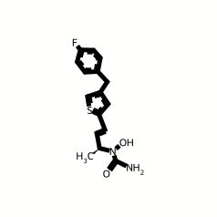 C[C@H](C=Cc1cc(Cc2ccc(F)cc2)cs1)N(O)C(N)=O